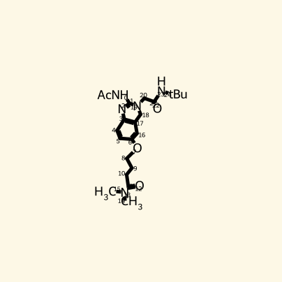 CC(=O)NC1=Nc2ccc(OCCCC(=O)N(C)C)cc2CN1CC(=O)NC(C)(C)C